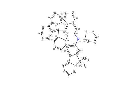 CC1(C)c2ccccc2-c2ccc(N(c3ccccc3)c3cc4ccccc4c4c3-c3ccccc3C4(c3ccccc3)c3ccccc3)cc21